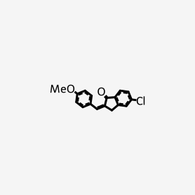 COc1ccc(C=C2Cc3cc(Cl)ccc3C2=O)cc1